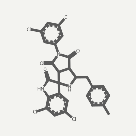 Cc1ccc(CC2NC3(C(=O)Nc4c(Cl)cc(Cl)cc43)C3C(=O)N(c4cc(Cl)cc(Cl)c4)C(=O)C23)cc1